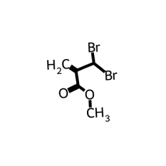 C=C(C(=O)OC)C(Br)Br